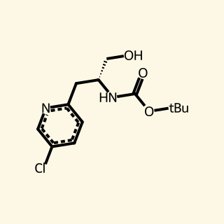 CC(C)(C)OC(=O)N[C@@H](CO)Cc1ccc(Cl)cn1